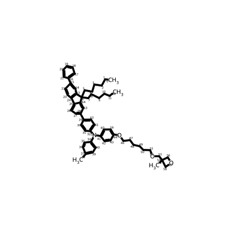 CCCCCCC1(CCCCCC)c2cc(-c3ccccc3)ccc2-c2ccc(-c3ccc(N(c4ccc(C)cc4)c4ccc(OCCCCCCOCC5(C)COC5)cc4)cc3)cc21